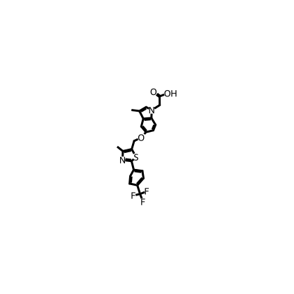 Cc1nc(-c2ccc(C(F)(F)F)cc2)sc1COc1ccc2c(c1)c(C)cn2CC(=O)O